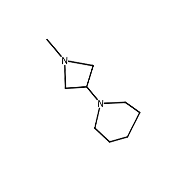 CN1CC(N2CCCCC2)C1